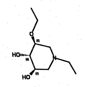 CCO[C@H]1CN(CC)C[C@@H](O)[C@@H]1O